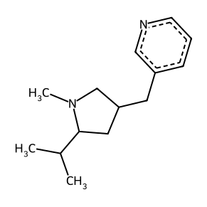 CC(C)C1CC(Cc2cccnc2)CN1C